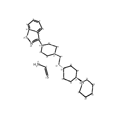 NC=S.c1ccc2c(N3CCN(CC[C@H]4CC[C@H](N5CCCCC5)CC4)CC3)nsc2c1